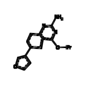 CC(C)Oc1nc(N)nc2ccc(-c3ccoc3)cc12